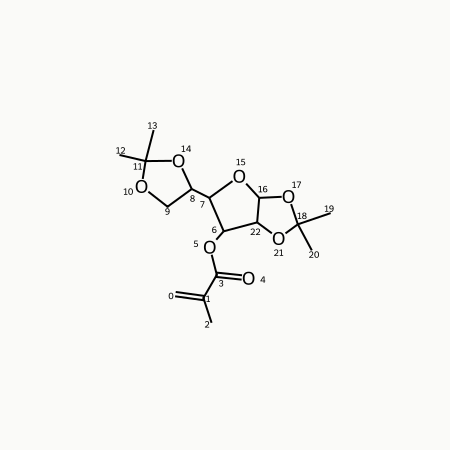 C=C(C)C(=O)OC1C(C2COC(C)(C)O2)OC2OC(C)(C)OC21